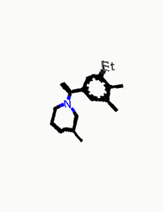 C=C(c1cc(C)c(C)c(CC)c1)N1CCCC(C)C1